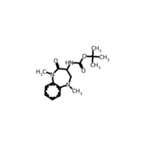 CN1CC(NC(=O)OC(C)(C)C)C(=O)N(C)c2ccccc21